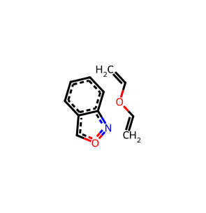 C=COC=C.c1ccc2nocc2c1